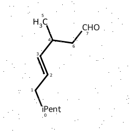 CCCC(C)CC=CC(C)CC=O